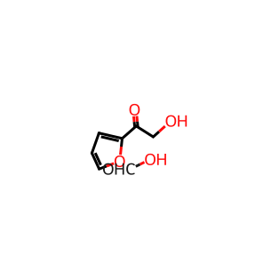 O=C(CO)c1ccco1.O=CO